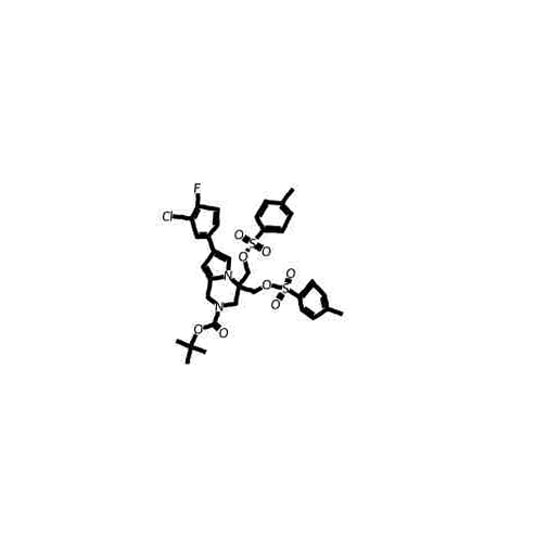 Cc1ccc(S(=O)(=O)OCC2(COS(=O)(=O)c3ccc(C)cc3)CN(C(=O)OC(C)(C)C)Cc3cc(-c4ccc(F)c(Cl)c4)cn32)cc1